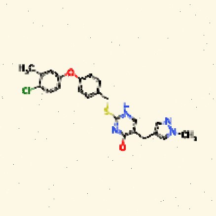 Cc1cc(Oc2ccc(CSc3nc(=O)c(Cc4cnn(C)c4)c[nH]3)cc2)ccc1Cl